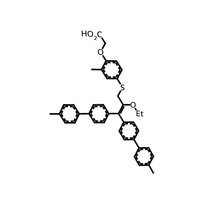 CCOC(CSc1ccc(OCC(=O)O)c(C)c1)=C(c1ccc(-c2ccc(C)cc2)cc1)c1ccc(-c2ccc(C)cc2)cc1